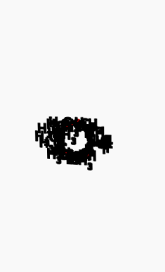 CC[C@H](C)[C@H]1CN(C)[C@@H](C)CN2CC[C@H]2CN(C)[C@@H](CC2CCCCC2)CN(C)CCN[C@@H](CCc2ccc(C(F)(F)F)c(Cl)c2)CN2CCC[C@H]2CNC2(CCCC2)CN(C)[C@@H](C2CCCC2)CN(C)[C@H](C(=O)N2CCCCC2)CCN(C)[C@@H](CC(C)C)CN1